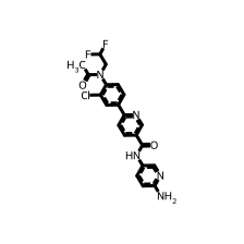 CC(=O)N(CC(F)F)c1ccc(-c2ccc(C(=O)Nc3ccc(N)nc3)cn2)cc1Cl